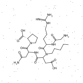 CCCCCN(C(=O)C(CCCNC(=N)N)NC(=O)CN)C(CC(=O)O)C(=O)NC(CC(N)=O)C(=O)N1CCC[C@H]1C(=O)O